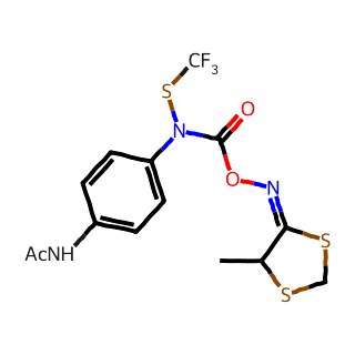 CC(=O)Nc1ccc(N(SC(F)(F)F)C(=O)ON=C2SCSC2C)cc1